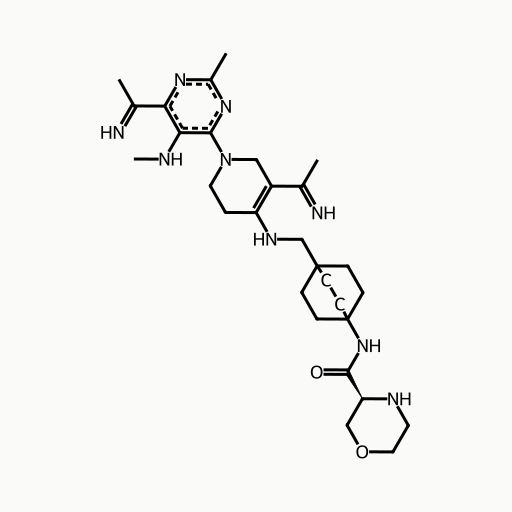 CNc1c(C(C)=N)nc(C)nc1N1CCC(NCC23CCC(NC(=O)[C@@H]4COCCN4)(CC2)CC3)=C(C(C)=N)C1